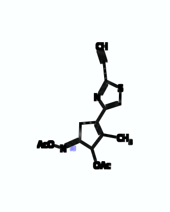 C#Cc1nc(C2=C(C)C(OC(C)=O)/C(=N/OC(C)=O)C2)cs1